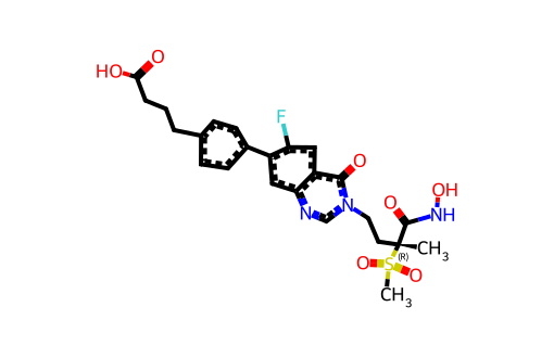 C[C@@](CCn1cnc2cc(-c3ccc(CCCC(=O)O)cc3)c(F)cc2c1=O)(C(=O)NO)S(C)(=O)=O